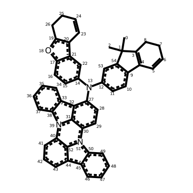 CC1(C)C2=C(C=CCC2)c2ccc(N(c3ccc4oc5c(c4c3)C=CCC5)c3ccc4c5c3c3ccccc3n5c3cccc5c6ccccc6n4c53)cc21